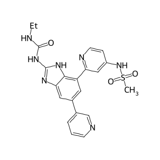 CCNC(=O)Nc1nc2cc(-c3cccnc3)cc(-c3cc(NS(C)(=O)=O)ccn3)c2[nH]1